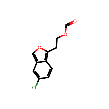 O=COCCc1occ2cc(Cl)ccc12